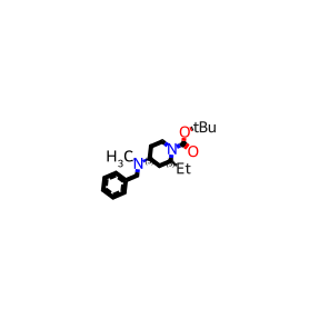 CC[C@H]1C[C@@H](N(C)Cc2ccccc2)CCN1C(=O)OC(C)(C)C